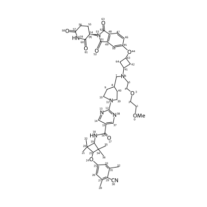 COCCOCCN(CC1CCN(c2ncc(C(=O)NC3C(C)(C)C(Oc4cc(C)c(C#N)c(C)c4)C3(C)C)cn2)CC1)C1CC(Oc2ccc3c(c2)C(=O)N([C@@H]2CCC(=O)NC2=O)C3=O)C1